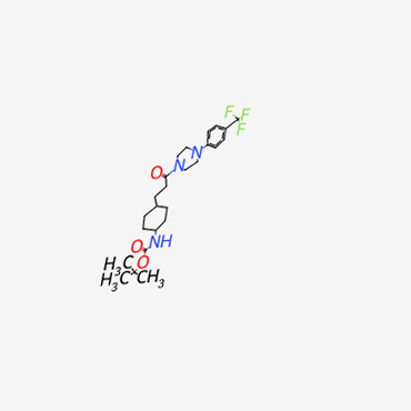 CC(C)(C)OC(=O)NC1CCC(CCC(=O)N2CCN(c3ccc(C(F)(F)F)cc3)CC2)CC1